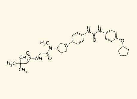 CN(C(=O)CNC(=O)CC(C)(C)C)C1CCN(c2ccc(NC(=O)Nc3ccc(OC4CCCC4)cc3)cc2)C1